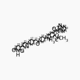 CC(C)Oc1cc2nn(C3CCN(C(=O)CC4CCN(c5ccc(C6CCC(=O)NC6=O)cn5)CC4)CC3)cc2cc1C(=O)Nc1cnn2cccnc12